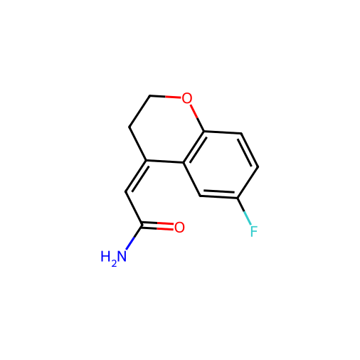 NC(=O)/C=C1/CCOc2ccc(F)cc21